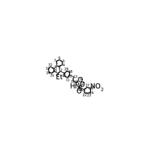 CCC(=C(c1ccccc1)c1ccc(C=CC(=O)NS(=O)(=O)c2cccc([N+](=O)[O-])c2)cc1)c1ccccc1